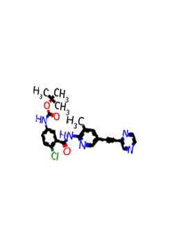 Cc1cc(C#Cc2cnccn2)cnc1NC(=O)c1cc(NC(=O)OC(C)(C)C)ccc1Cl